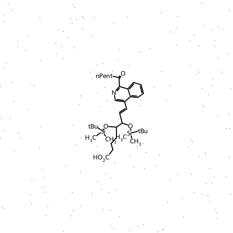 CCCCCC(=O)c1ncc(C=CC(O[Si](C)(C)C(C)(C)C)C(CCCC(=O)O)O[Si](C)(C)C(C)(C)C)c2ccccc12